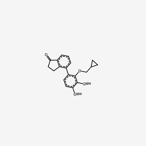 COc1ccc(-c2cccc3c2CCC3=O)c(OCC2CC2)c1OC